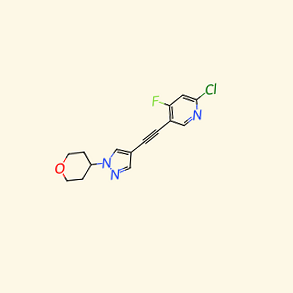 Fc1cc(Cl)ncc1C#Cc1cnn(C2CCOCC2)c1